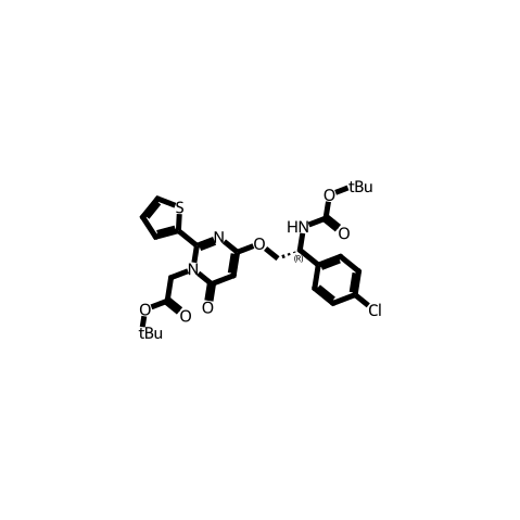 CC(C)(C)OC(=O)Cn1c(-c2cccs2)nc(OC[C@H](NC(=O)OC(C)(C)C)c2ccc(Cl)cc2)cc1=O